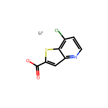 O=C([O-])c1cc2nccc(Cl)c2s1.[Li+]